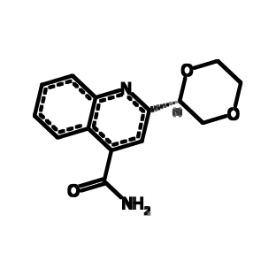 NC(=O)c1cc([C@H]2COCCO2)nc2ccccc12